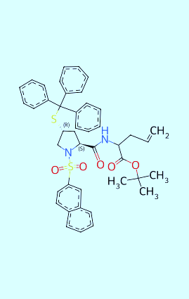 C=CCC(NC(=O)[C@@H]1C[C@@H](SC(c2ccccc2)(c2ccccc2)c2ccccc2)CN1S(=O)(=O)c1ccc2ccccc2c1)C(=O)OC(C)(C)C